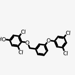 Oc1cc(Cl)c(OCc2cccc(Oc3cc(Cl)cc(Cl)c3)c2)c(Cl)c1